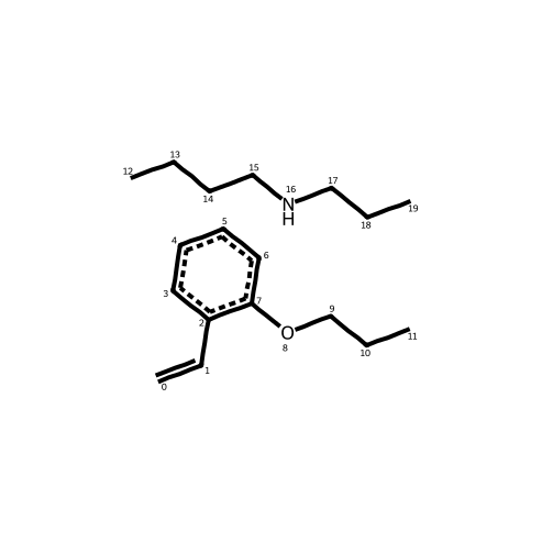 C=Cc1ccccc1OCCC.CCCCNCCC